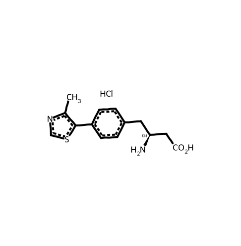 Cc1ncsc1-c1ccc(C[C@H](N)CC(=O)O)cc1.Cl